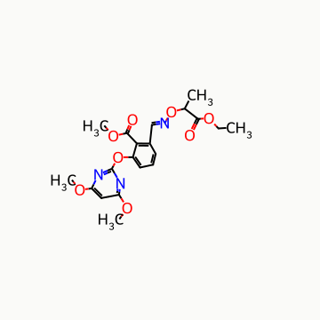 CCOC(=O)C(C)ON=Cc1cccc(Oc2nc(OC)cc(OC)n2)c1C(=O)OC